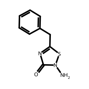 Nn1sc(Cc2ccccc2)nc1=O